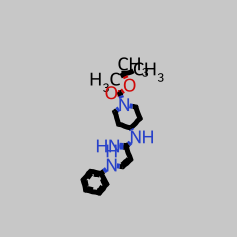 CC(C)(C)OC(=O)N1CCC(NC(=N)/C=C\Nc2ccccc2)CC1